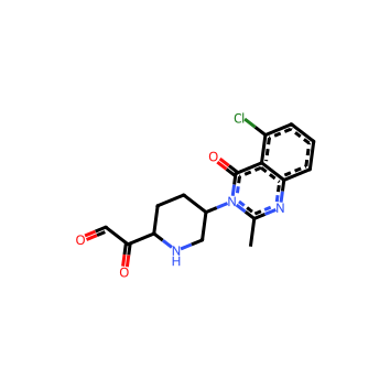 Cc1nc2cccc(Cl)c2c(=O)n1C1CCC(C(=O)C=O)NC1